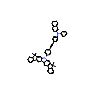 CC1(C)c2ccccc2-c2cc3c4cc5c(cc4n(-c4ccc(C#Cc6ccc(N(c7ccccc7)c7ccc8ccccc8c7)cc6)cc4)c3cc21)C(C)(C)c1ccccc1-5